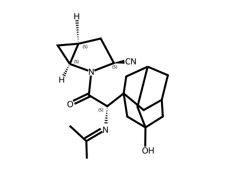 CC(C)=N[C@H](C(=O)N1[C@H](C#N)C[C@@H]2C[C@@H]21)C12CC3CC(CC(O)(C3)C1)C2